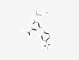 COCC(C)Nc1cc(Oc2ccc(S(C)(=O)=O)cc2)cc(C(=O)O)n1